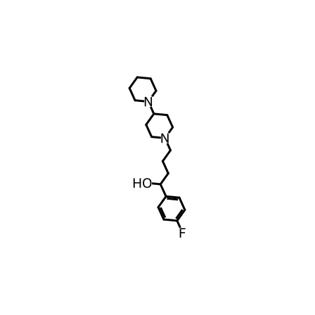 OC(CCCN1CCC(N2CCCCC2)CC1)c1ccc(F)cc1